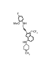 COc1cc(F)ccc1NCC#Cc1cc2c(NC3CCN(C)CC3)cccc2n1CC(F)(F)F